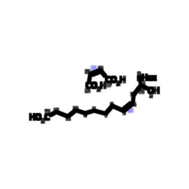 CCCCCC[C@@H](O)C/C=C\CCCCCCCC(=O)O.O=C(O)/C=C\C(=O)O